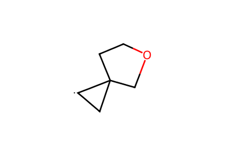 [CH]1CC12CCOC2